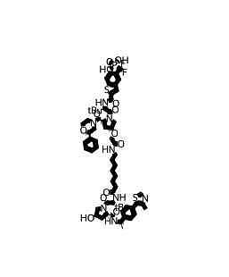 Cc1ncsc1-c1ccc([C@H](C)NC(=O)[C@@H]2C[C@@H](O)CN2C(=O)[C@@H](NC(=O)CCCCCCCNC(=O)CO[C@H]2C[C@@H](C(=O)N3CCO[C@H](c4ccccc4)C3)N(C(=O)[C@@H](NC(=O)c3cc4cc(C(F)(F)P(=O)(O)O)ccc4s3)C(C)(C)C)C2)C(C)(C)C)cc1